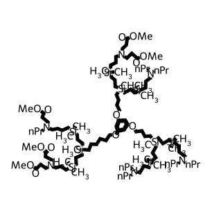 CCCN(CCC)CCC[Si](C)(C)CCC[Si](C)(CCCCOc1cc(OCCCCCC[Si](C)(CCC[Si](C)(C)CCCCN(CCC)CCC(=O)OC)CCC[Si](C)(C)CCCN(CCC(=O)OC)CCC(=O)OC)cc(OCCCC[Si](C)(CCC[Si](C)(C)CCCN(CCC)CCC)CCC[Si](C)(C)CCCN(CCC(=O)OC)CCC(=O)OC)c1)CCC[Si](C)(C)CCCN(CCC)CCC